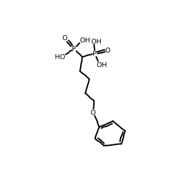 O=P(O)(O)C(CCCCOc1ccccc1)P(=O)(O)O